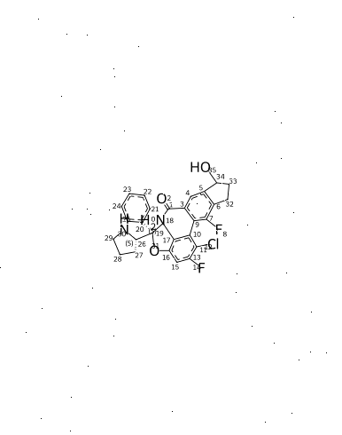 NC(=O)c1cc2c(c(F)c1-c1c(Cl)c(F)cc3c1C[C@](c1ccccc1)([C@@H]1CCCN1)O3)CCC2O